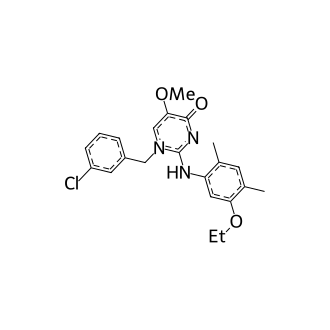 CCOc1cc(Nc2nc(=O)c(OC)cn2Cc2cccc(Cl)c2)c(C)cc1C